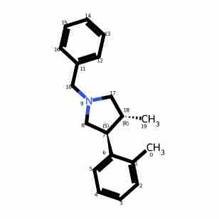 Cc1ccccc1[C@H]1CN(Cc2ccccc2)C[C@@H]1C